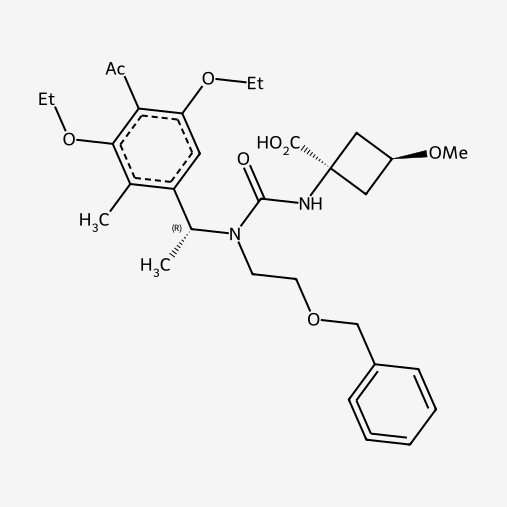 CCOc1cc([C@@H](C)N(CCOCC2=C=C=CC=C2)C(=O)N[C@]2(C(=O)O)C[C@H](OC)C2)c(C)c(OCC)c1C(C)=O